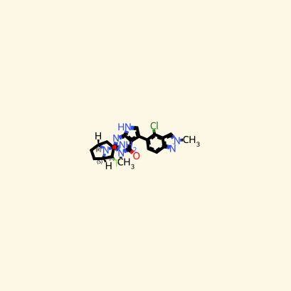 Cn1cc2c(Cl)c(-c3c[nH]c4nc(N5[C@@H]6CC[C@H]5[C@H](F)[C@H](N)C6)n(C)c(=O)c34)ccc2n1